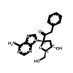 Nc1ncnc2c1ncn2[C@@]1(C(=O)Cc2ccccc2)C[C@H](O)[C@@H](CO)O1